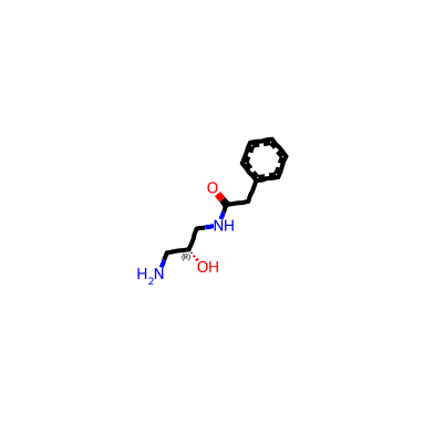 NC[C@@H](O)CNC(=O)Cc1ccccc1